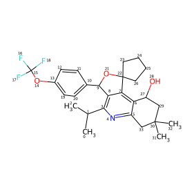 CC(C)c1nc2c(c3c1C(c1ccc(OC(F)(F)F)cc1)OC31CCCC1)C(O)CC(C)(C)C2